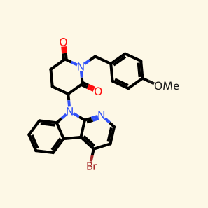 COc1ccc(CN2C(=O)CCC(n3c4ccccc4c4c(Br)ccnc43)C2=O)cc1